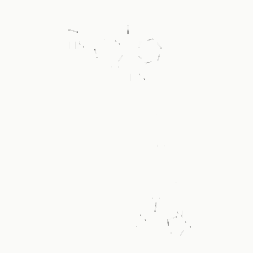 NC(=O)c1ccnn1CCOCCOCCOCCNc1cccc2c1C(=O)N(C1CCC(=O)NC1=O)C2=O